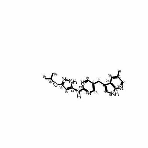 Cc1cnc2[nH]cc(Cc3cnc(Nc4cc(OC(C)C)n[nH]4)nc3)c2c1